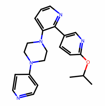 CC(C)Oc1ccc(-c2ncccc2N2CCN(c3ccncc3)CC2)cn1